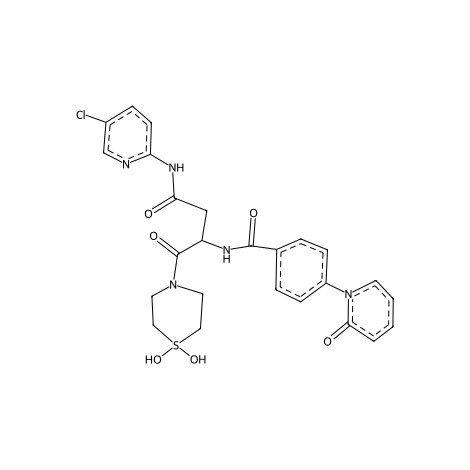 O=C(CC(NC(=O)c1ccc(-n2ccccc2=O)cc1)C(=O)N1CCS(O)(O)CC1)Nc1ccc(Cl)cn1